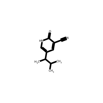 CC(C)C(C)c1c[nH]c(=O)c(C#N)c1